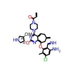 C=CC(=O)N1CCN(c2nc(O[C@@H]3CNC[C@H]3OC)nc3c2=CCC(=C)CC=3Oc2c(C)c(Cl)cc(N)c2C=N)CC1